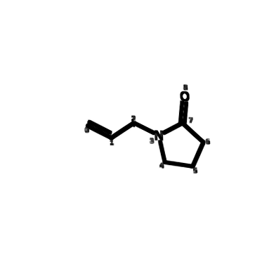 C=C[CH]N1CCCC1=O